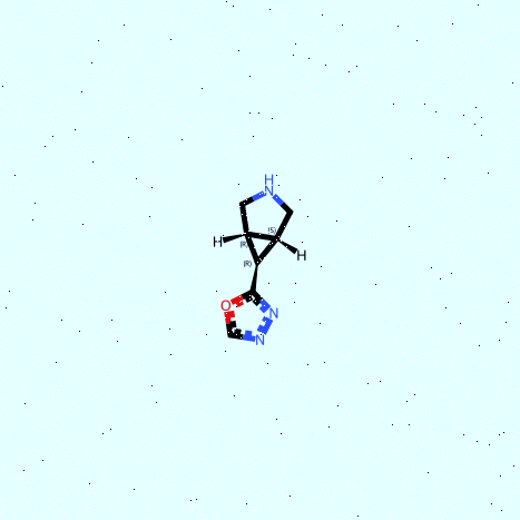 c1nnc([C@H]2[C@@H]3CNC[C@@H]32)o1